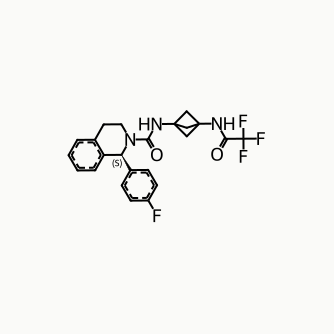 O=C(NC12CC(NC(=O)C(F)(F)F)(C1)C2)N1CCc2ccccc2[C@@H]1c1ccc(F)cc1